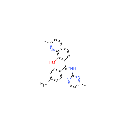 Cc1ccnc(N[C@H](c2ccc(C(F)(F)F)cc2)c2ccc3ccc(C)nc3c2O)n1